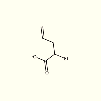 C=CCC(CC)C([O])=O